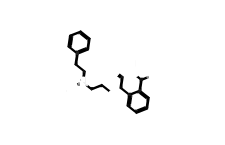 CC(C)c1ccccc1[C@@H](C=O)CCCN(C)CCc1ccccc1